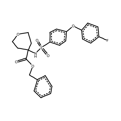 O=C(OCc1ccccc1)C1(NS(=O)(=O)c2ccc(Oc3ccc(F)cc3)cc2)CCOCC1